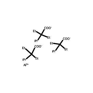 CCC(CC)(C(=O)[O-])C(C)C.CCC(CC)(C(=O)[O-])C(C)C.CCC(CC)(C(=O)[O-])C(C)C.[Al+3]